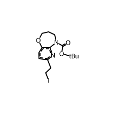 CC(C)(C)OC(=O)N1CCCOc2ccc(CCI)nc21